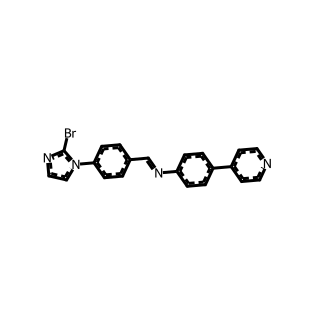 Brc1nccn1-c1ccc(/C=N/c2ccc(-c3ccncc3)cc2)cc1